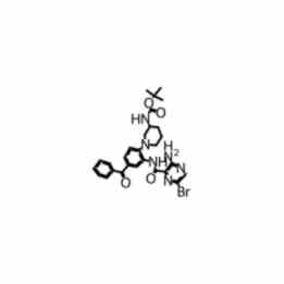 CC(C)(C)OC(=O)NC1CCCN(c2ccc(C(=O)c3ccccc3)cc2NC(=O)c2nc(Br)cnc2N)C1